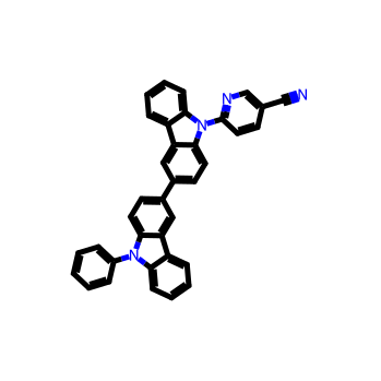 N#Cc1ccc(-n2c3ccccc3c3cc(-c4ccc5c(c4)c4ccccc4n5-c4ccccc4)ccc32)nc1